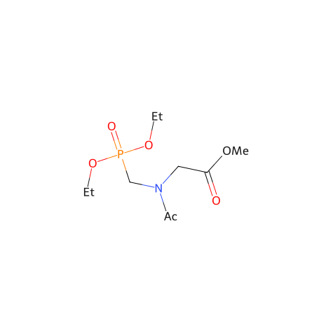 CCOP(=O)(CN(CC(=O)OC)C(C)=O)OCC